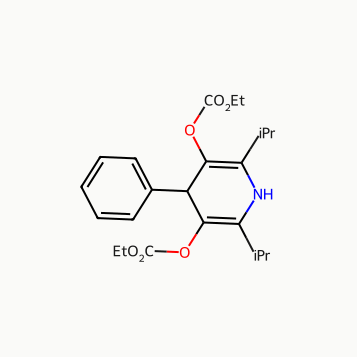 CCOC(=O)OC1=C(C(C)C)NC(C(C)C)=C(OC(=O)OCC)C1c1ccccc1